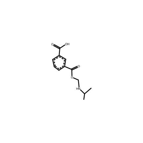 CC(C)NCOC(=O)c1cccc(C(=O)O)c1